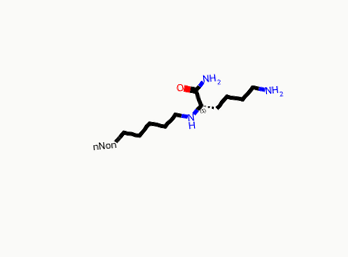 CCCCCCCCCCCCCCN[C@@H](CCCCN)C(N)=O